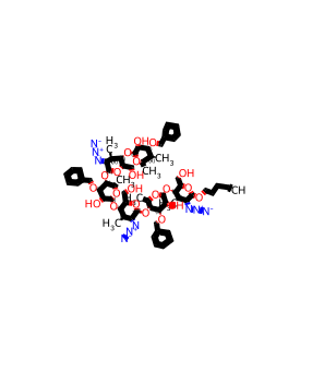 C#CCCCOC1OC(CO)[C@@H](O[C@@H]2OC(C)C(O[C@@H]3OC(CO)[C@@H](O[C@@H]4OC(C)[C@@H](O[C@@H]5OC(CO)[C@@H](O[C@@H]6OC(C)[C@@H](C)[C@@H](OCc7ccccc7)C6O)[C@H](C)C5N=[N+]=[N-])[C@@H](OCc5ccccc5)C4O)[C@H](C)C3N=[N+]=[N-])[C@@H](OCc3ccccc3)C2O)[C@H](C)C1N=[N+]=[N-]